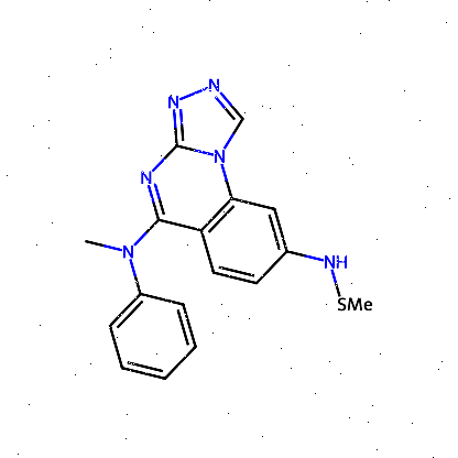 CSNc1ccc2c(N(C)c3ccccc3)nc3nncn3c2c1